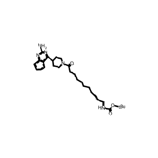 CC(C)(C)OC(=O)NCCCCCCCCCCC(=O)N1CCC(c2nc(N)nc3ccccc23)CC1